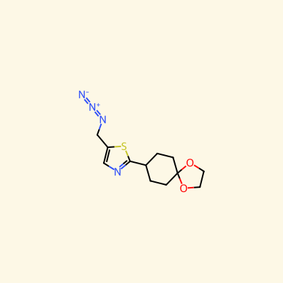 [N-]=[N+]=NCc1cnc(C2CCC3(CC2)OCCO3)s1